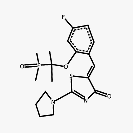 CC(C)(Oc1cc(F)ccc1/C=C1\SC(N2CCCC2)=NC1=O)P(C)(C)=O